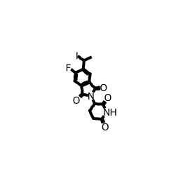 CC(I)c1cc2c(cc1F)C(=O)N(C1CCC(=O)NC1=O)C2=O